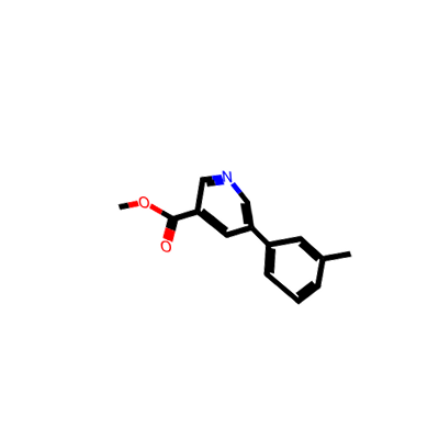 COC(=O)c1cncc(-c2cccc(C)c2)c1